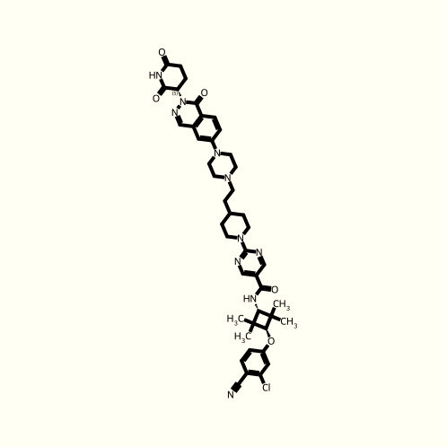 CC1(C)[C@H](NC(=O)c2cnc(N3CCC(CCN4CCN(c5ccc6c(=O)n([C@H]7CCC(=O)NC7=O)ncc6c5)CC4)CC3)nc2)C(C)(C)[C@H]1Oc1ccc(C#N)c(Cl)c1